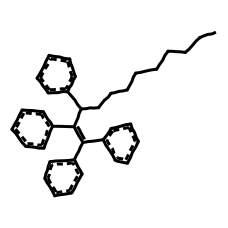 CCCCCCCCCC(C(=C(c1ccccc1)c1ccccc1)c1ccccc1)c1ccccc1